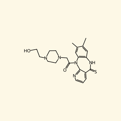 Cc1cc2c(cc1C)N(C(=O)CN1CCN(CCO)CC1)c1ncccc1C(=S)N2